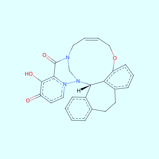 O=C1c2c(O)c(=O)ccn2N2CN1C/C=C\COc1cccc3c1[C@@H]2c1ccccc1CC3